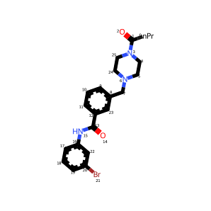 CCCC(=O)N1CCN(Cc2cccc(C(=O)Nc3cccc(Br)c3)c2)CC1